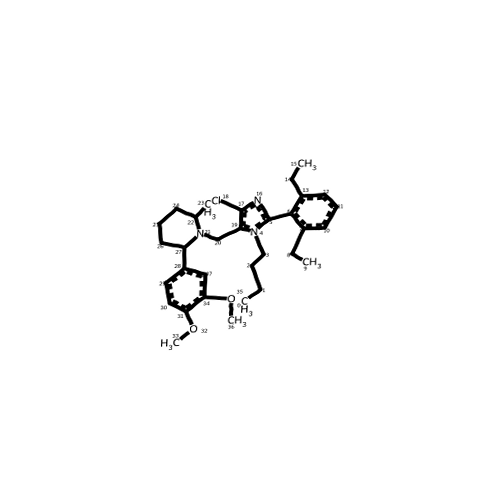 CCCCn1c(-c2c(CC)cccc2CC)nc(Cl)c1CN1C(C)CCCC1c1ccc(OC)c(OC)c1